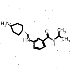 CC(C)NC(=O)c1cccc(NC[C@H]2CC[C@H](N)CC2)c1